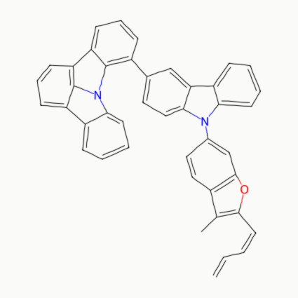 C=C/C=C\c1oc2cc(-n3c4ccccc4c4cc(-c5cccc6c7cccc8c9ccccc9n(c56)c87)ccc43)ccc2c1C